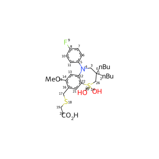 CCCCC1(CCCC)CN(c2ccc(F)cc2)c2cc(OC)c(CSCC(=O)O)cc2S(O)(O)C1